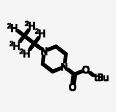 [2H]C([2H])([2H])C([2H])([2H])N1CCN(C(=O)OC(C)(C)C)CC1